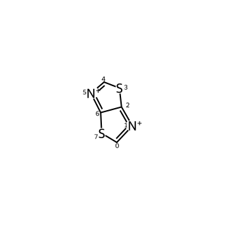 C1=[N+]=C2SC=[N+]=C2S1